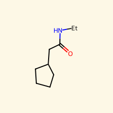 CCNC(=O)CC1CCCC1